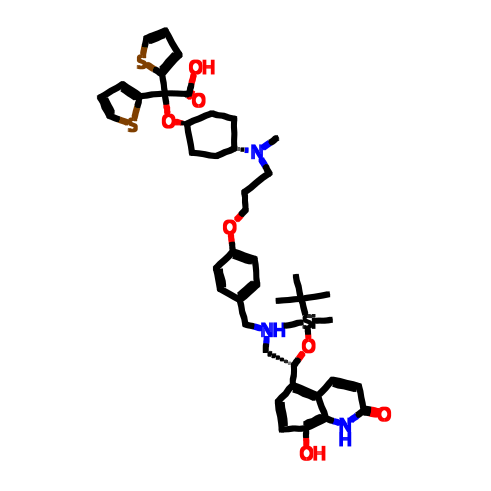 CN(CCCOc1ccc(CNC[C@H](O[Si](C)(C)C(C)(C)C)c2ccc(O)c3[nH]c(=O)ccc23)cc1)[C@H]1CC[C@H](OC(C(=O)O)(c2cccs2)c2cccs2)CC1